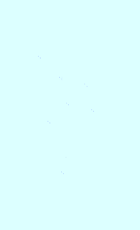 Cc1nc(Sc2ncccc2C(=O)N(C)C)nc(N2CCN(C)CC2)n1